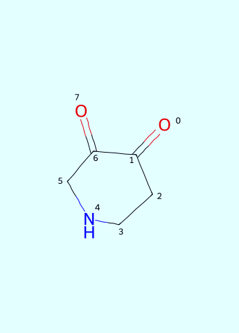 O=C1CCNCC1=O